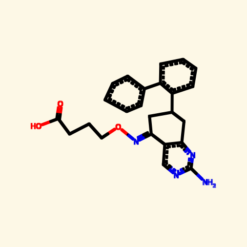 Nc1ncc2c(n1)CC(c1ccccc1-c1ccccc1)C/C2=N\OCCCC(=O)O